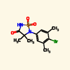 Cc1cc(N2C(C)(C)C(=O)NS2(=O)=O)cc(C)c1Br